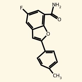 Cc1ccc(-c2cc3cc(F)cc(C(N)=O)c3o2)cc1